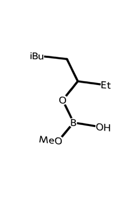 CCC(C)CC(CC)OB(O)OC